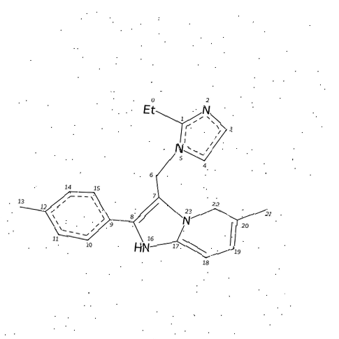 CCc1nccn1CC1=C(c2ccc(C)cc2)NC2=CC=C(C)CN21